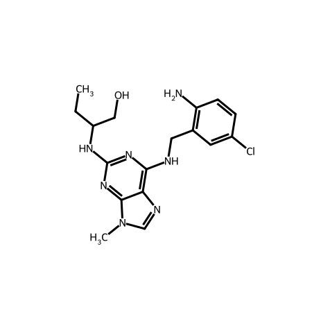 CCC(CO)Nc1nc(NCc2cc(Cl)ccc2N)c2ncn(C)c2n1